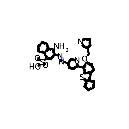 Nc1c(/N=N/c2ccc(-c3c(OCc4cccnc4)ccc4c3sc3ccccc34)nc2)cc(S(=O)(=O)O)c2ccccc12